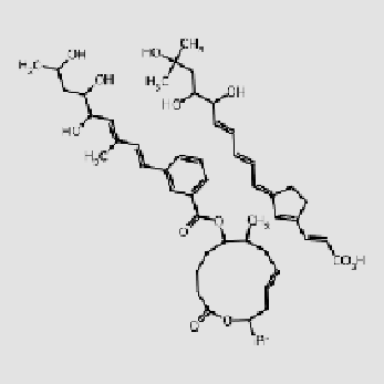 CC(/C=C/c1cccc(C(=O)OC2CCCC(=O)OC(C(C)C)C/C=C/CC2C)c1)=C\C(O)C(O)CC(C)O.CC(C)(O)CC(O)C(O)/C=C/C=C/C=C1C=C(/C=C/C(=O)O)CC/1